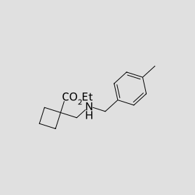 CCOC(=O)C1(CNCc2ccc(C)cc2)CCC1